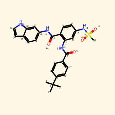 CC(C)(C)c1ccc(C(=O)Nc2cc(NS(C)(=O)=O)ccc2C(=O)Nc2ccc3cc[nH]c3c2)cc1